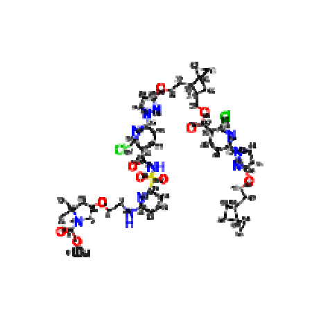 CC(C)(C)OC(=O)N1CC(OCCNc2cccc(S(=O)(=O)NC(=O)c3ccc(-n4ccc(OCCC5C(COC(=O)c6ccc(-n7ccc(OCCC8CCC89CC9)n7)nc6Cl)CC56CC6)n4)nc3Cl)n2)CC1(C)C